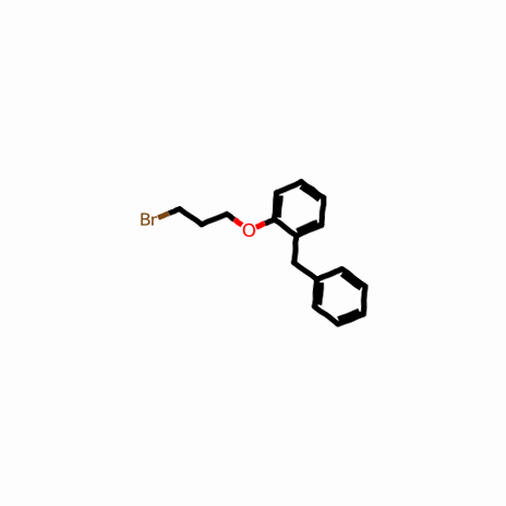 BrCCCOc1ccccc1Cc1ccccc1